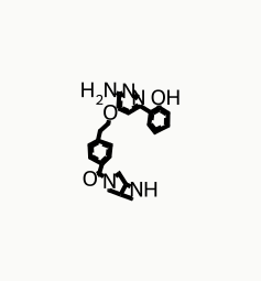 Nc1nnc(-c2ccccc2O)cc1OCCc1ccc(C(=O)N2CC3CNC3C2)cc1